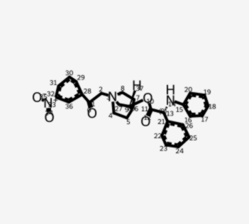 O=C(C[N+]12CCC(CC1)[C@@H](OC(=O)[C@H](Nc1ccccc1)c1ccccc1)C2)c1cccc([N+](=O)[O-])c1